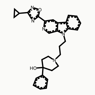 OC1(c2ccccc2)CCN(CCCn2c3ccccc3c3cc(-c4nc(C5CC5)no4)ncc32)CC1